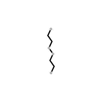 [O]CCOOCC[O]